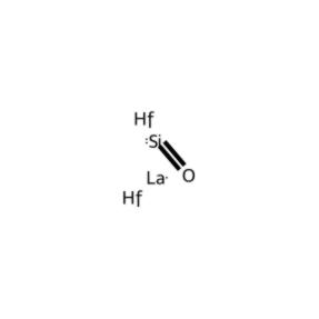 O=[Si].[Hf].[Hf].[La]